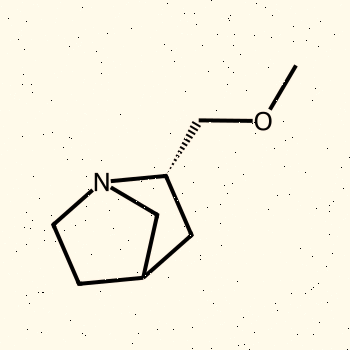 COC[C@@H]1CC2CCN1C2